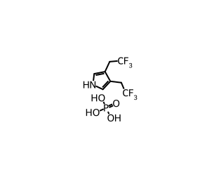 FC(F)(F)Cc1c[nH]cc1CC(F)(F)F.O=P(O)(O)O